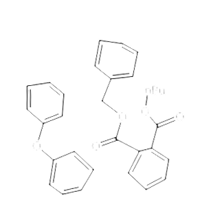 CCCCOC(=O)c1ccccc1C(=O)OCc1ccccc1.c1ccc(Oc2ccccc2)cc1